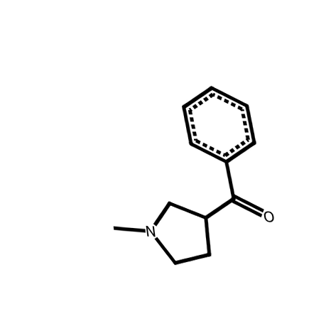 CN1CCC(C(=O)c2ccccc2)C1